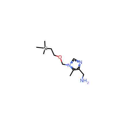 Cc1c(CN)ncn1COCC[Si](C)(C)C